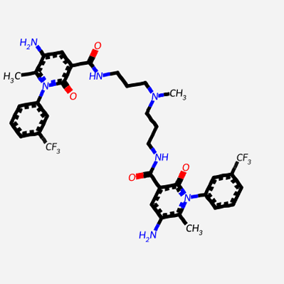 Cc1c(N)cc(C(=O)NCCCN(C)CCCNC(=O)c2cc(N)c(C)n(-c3cccc(C(F)(F)F)c3)c2=O)c(=O)n1-c1cccc(C(F)(F)F)c1